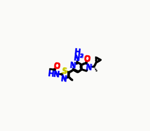 CC(=O)Nc1nc(C)c(-c2cc3c(c(N)n2)C(=O)N([C@@H](C)C2CC2)C3)s1